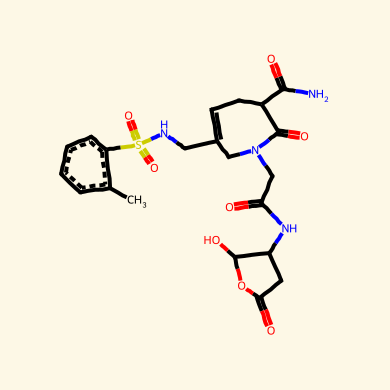 Cc1ccccc1S(=O)(=O)NCC1=CCC(C(N)=O)C(=O)N(CC(=O)NC2CC(=O)OC2O)C1